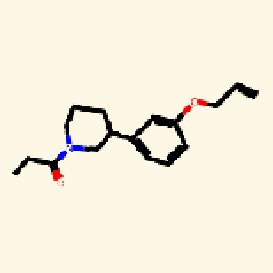 C=CCOc1cccc(C2CCCN(C(=O)CC)C2)c1